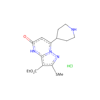 CCOC(=O)c1c(SC)nn2c(C3CCNCC3)cc(=O)[nH]c12.Cl